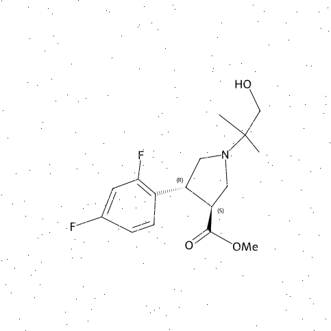 COC(=O)[C@@H]1CN(C(C)(C)CO)C[C@H]1c1ccc(F)cc1F